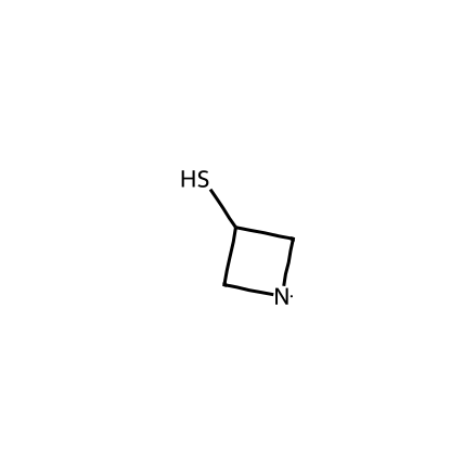 SC1C[N]C1